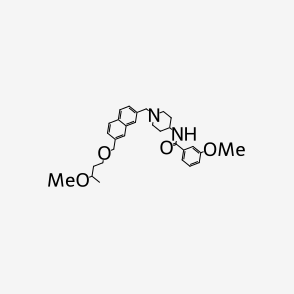 COc1cccc(C(=O)NC2CCN(Cc3ccc4ccc(COCCC(C)OC)cc4c3)CC2)c1